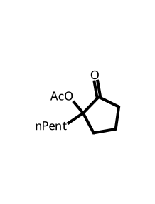 CCCCCC1(OC(C)=O)CCCC1=O